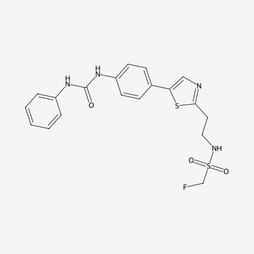 O=C(Nc1ccccc1)Nc1ccc(-c2cnc(CCNS(=O)(=O)CF)s2)cc1